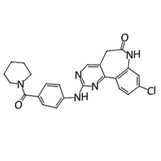 O=C1Cc2cnc(Nc3ccc(C(=O)N4CCCCC4)cc3)nc2-c2ccc(Cl)cc2N1